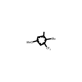 COc1cc(C)c(C(C)(C)C)c(C(F)(F)F)c1